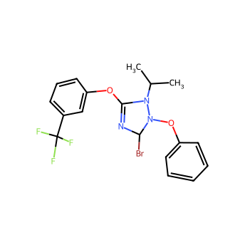 CC(C)N1C(Oc2cccc(C(F)(F)F)c2)=NC(Br)N1Oc1ccccc1